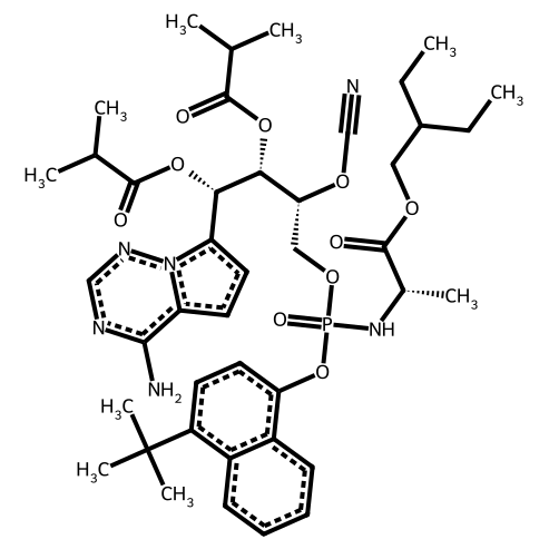 CCC(CC)COC(=O)[C@H](C)NP(=O)(OC[C@@H](OC#N)[C@@H](OC(=O)C(C)C)[C@@H](OC(=O)C(C)C)c1ccc2c(N)ncnn12)Oc1ccc(C(C)(C)C)c2ccccc12